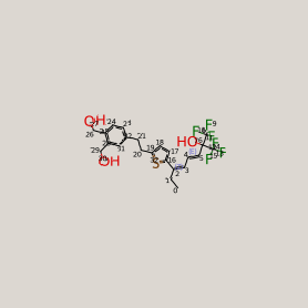 CC/C(=C/C=C/C(O)(C(F)(F)F)C(F)(F)F)c1ccc(CCc2ccc(CO)c(CO)c2)s1